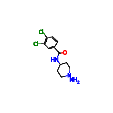 NN1CCC(NC(=O)c2ccc(Cl)c(Cl)c2)CC1